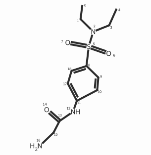 CCN(CC)S(=O)(=O)c1ccc(NC(=O)CN)cc1